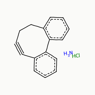 C1#Cc2ccccc2-c2ccccc2CC1.Cl.N